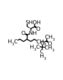 CC(=O)OC(C)(C)C.CCCC(CCC)C(=O)N[C@@H](CS)C(=O)O